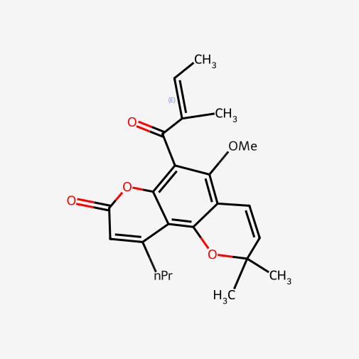 C/C=C(\C)C(=O)c1c(OC)c2c(c3c(CCC)cc(=O)oc13)OC(C)(C)C=C2